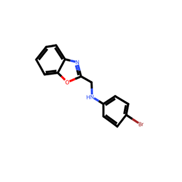 Brc1ccc(NCc2nc3ccccc3o2)cc1